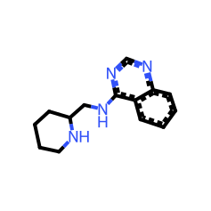 c1ccc2c(NCC3CCCCN3)ncnc2c1